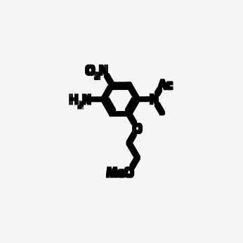 COCCOc1cc(N)c([N+](=O)[O-])cc1N(C)C(C)=O